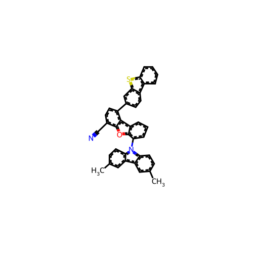 Cc1ccc2c(c1)c1cc(C)ccc1n2-c1cccc2c1oc1c(C#N)ccc(-c3ccc4c(c3)sc3ccccc34)c12